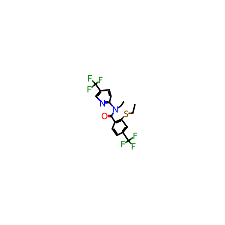 CCSc1cc(C(F)(F)F)ccc1C(=O)N(CC)c1ccc(C(F)(F)F)cn1